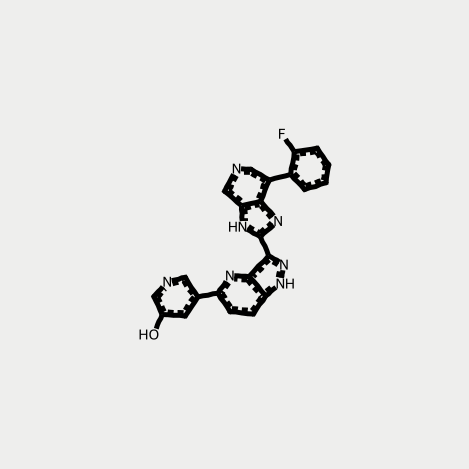 Oc1cncc(-c2ccc3[nH]nc(-c4nc5c(-c6ccccc6F)cncc5[nH]4)c3n2)c1